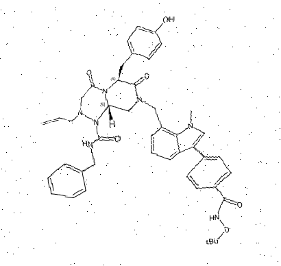 C=CCN1CC(=O)N2[C@@H](Cc3ccc(O)cc3)C(=O)N(Cc3cccc4c(-c5ccc(C(=O)NOC(C)(C)C)cc5)cn(C)c34)C[C@@H]2N1C(=O)NCc1ccccc1